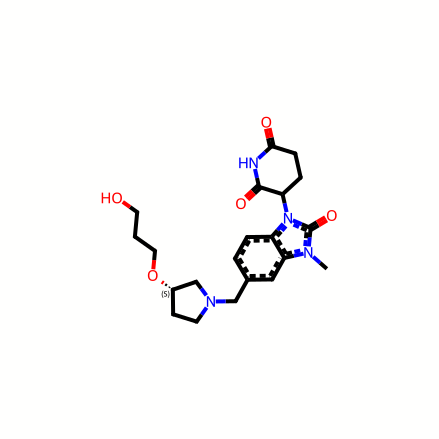 Cn1c(=O)n(C2CCC(=O)NC2=O)c2ccc(CN3CC[C@H](OCCCO)C3)cc21